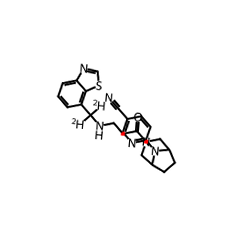 [2H]C([2H])(NCCC(=O)N1CC2CCC(C1)N2c1ccc(C#N)cn1)c1cccc2ncsc12